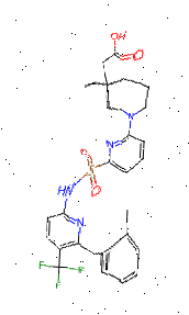 Cc1ccccc1-c1nc(NS(=O)(=O)c2cccc(N3CCCC(C)(CC(=O)O)C3)n2)ccc1C(F)(F)F